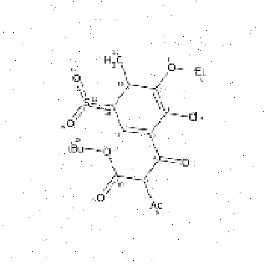 CCOC1=C(Cl)C(C(=O)C(C(C)=O)C(=O)OC(C)(C)C)=CC(=S(=O)=O)C1C